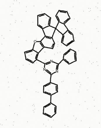 c1ccc(-c2ccc(-c3nc(-c4ccccc4)nc(-c4cccc5oc6c7c(ccc6c45)C4(c5ccccc5-c5ccccc54)c4ccccc4-7)n3)cc2)cc1